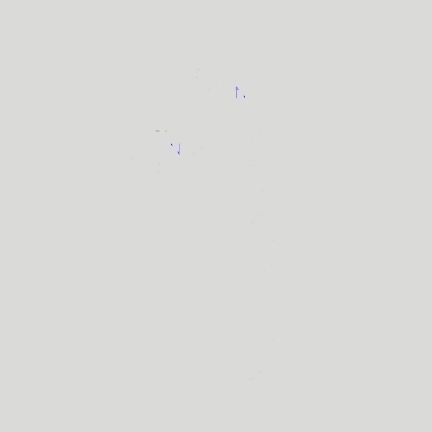 c1ccc(-c2cccc(-c3ccc(-c4ccc(-c5ccc(-c6ccc(-n7c8ccccc8c8ccccc87)cc6)c(-c6ccc(-n7c8ccccc8c8ccccc87)cc6)c5)cc4)cc3)c2)cc1